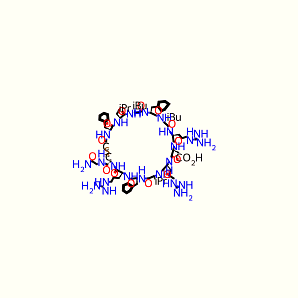 CC[C@H](C)[C@@H]1NC(=O)[C@H](Cc2ccccc2)NC(=O)[C@H]([C@@H](C)CC)NC(=O)[C@H](CC(C)C)NC(=O)[C@H](Cc2ccccc2)NC(=O)CSC[C@@H](C(=O)NCC(N)=O)NC(=O)[C@H](CCCNC(=N)N)NC(=O)[C@H](Cc2ccccc2)NC(=O)[C@H](C(C)C)NC(=O)[C@H](CCCNC(=N)N)NC(=O)[C@H](CC(=O)O)NC(=O)[C@H](CCCNC(=N)N)NC1=O